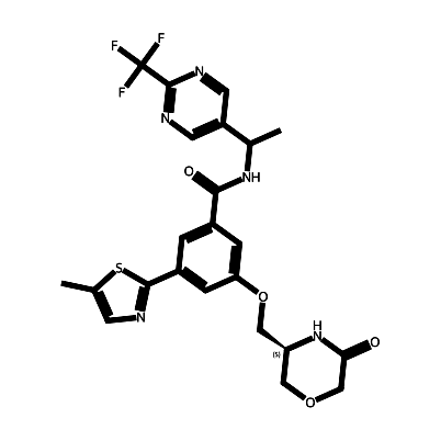 Cc1cnc(-c2cc(OC[C@@H]3COCC(=O)N3)cc(C(=O)NC(C)c3cnc(C(F)(F)F)nc3)c2)s1